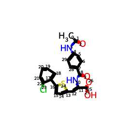 CC(=O)Nc1ccc(C(=O)N/C(=C\c2ccc(-c3ccccc3Cl)s2)C(=O)O)cc1